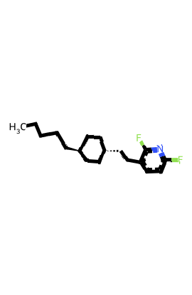 CCCCC[C@H]1CC[C@H](CCc2ccc(F)nc2F)CC1